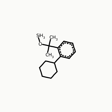 CC(C)(O[SiH3])c1ccccc1C1CCCCC1